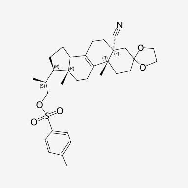 Cc1ccc(S(=O)(=O)OC[C@@H](C)[C@H]2CCC3C4=C(CC[C@@]32C)[C@@]2(C)CCC3(C[C@]2(C#N)CC4)OCCO3)cc1